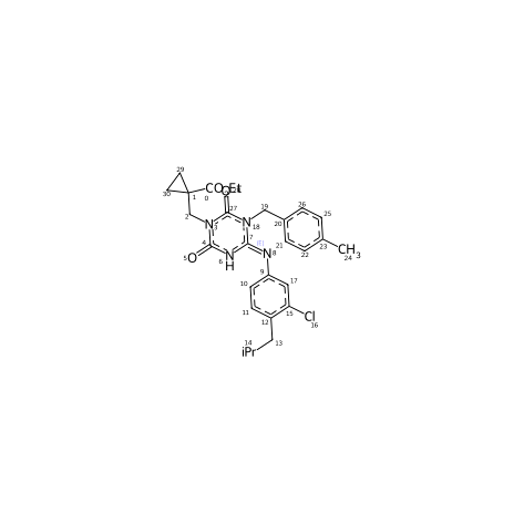 CCOC(=O)C1(Cn2c(=O)[nH]/c(=N\c3ccc(CC(C)C)c(Cl)c3)n(Cc3ccc(C)cc3)c2=O)CC1